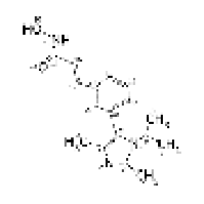 Cc1nc(C)n(C(C)C)c1-c1cccc(C=CC(=O)NO)c1